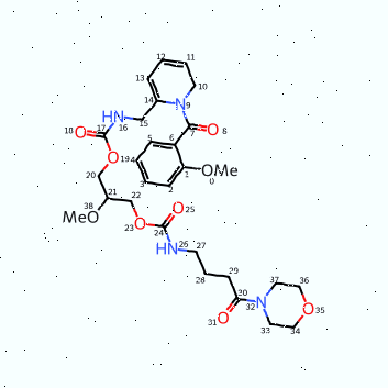 COc1ccccc1C(=O)N1CC=CC=C1CNC(=O)OCC(COC(=O)NCCCC(=O)N1CCOCC1)OC